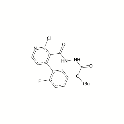 CC(C)(C)OC(=O)NNC(=O)c1c(-c2ccccc2F)ccnc1Cl